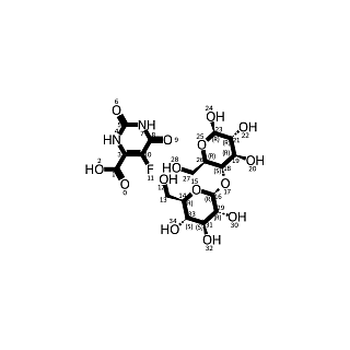 O=C(O)c1[nH]c(=O)[nH]c(=O)c1F.OC[C@H]1O[C@H](O[C@H]2[C@H](O)[C@@H](O)[C@H](O)O[C@@H]2CO)[C@H](O)[C@@H](O)[C@@H]1O